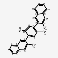 Brc1cc(-c2cc3ccccc3cc2Br)c(Br)cc1-c1cc2ccccc2cc1Br